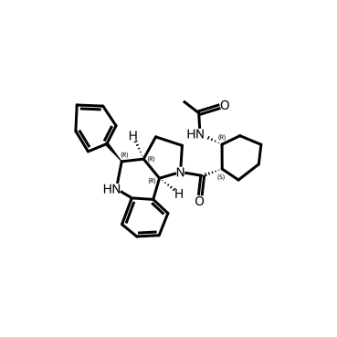 CC(=O)N[C@@H]1CCCC[C@@H]1C(=O)N1CC[C@@H]2[C@H](c3ccccc3)Nc3ccccc3[C@@H]21